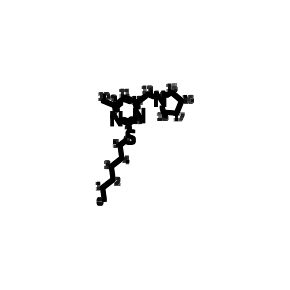 CCCCCCSc1nc(C)cc(CN2CCCC2)n1